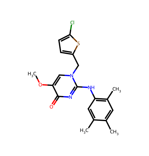 COc1cn(Cc2ccc(Cl)s2)c(Nc2cc(C)c(C)cc2C)nc1=O